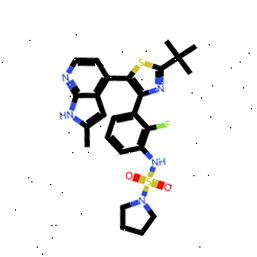 Cc1cc2c(-c3sc(C(C)(C)C)nc3-c3cccc(NS(=O)(=O)N4CCCC4)c3F)ccnc2[nH]1